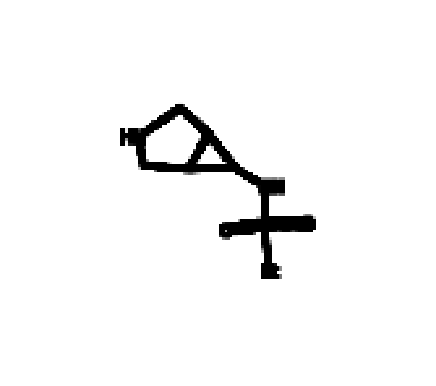 CCS(=O)(=O)NC1C2CNCC21